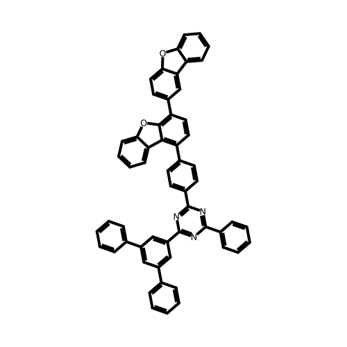 c1ccc(-c2cc(-c3ccccc3)cc(-c3nc(-c4ccccc4)nc(-c4ccc(-c5ccc(-c6ccc7oc8ccccc8c7c6)c6oc7ccccc7c56)cc4)n3)c2)cc1